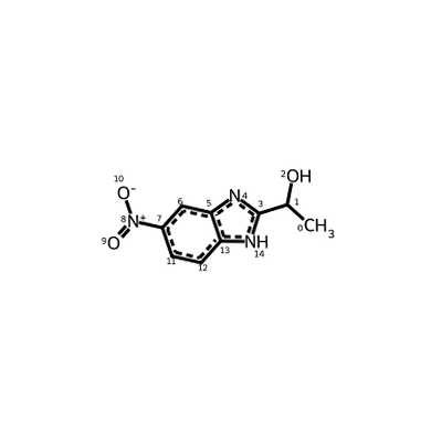 CC(O)c1nc2cc([N+](=O)[O-])ccc2[nH]1